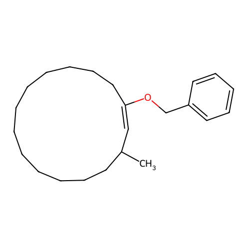 CC1/C=C(/OCc2ccccc2)CCCCCCCCCCCC1